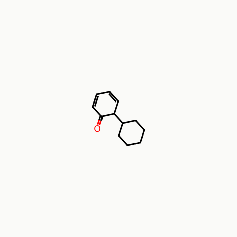 O=C1C=CC=CC1C1CCCCC1